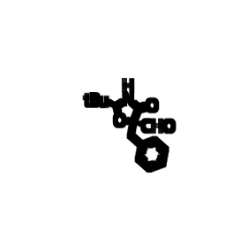 CC(C)(C)[C@H]1NC(=O)[C@@](C=O)(Cc2ccccc2)O1